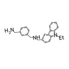 CCn1c2ccccc2c2cc(CNCc3cccc(CN)c3)ccc21